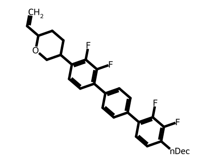 C=CC1CCC(c2ccc(-c3ccc(-c4ccc(CCCCCCCCCC)c(F)c4F)cc3)c(F)c2F)CO1